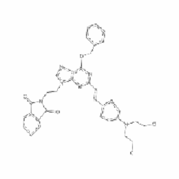 O=C1c2ccccc2C(=O)N1CCn1cnc2c(OCc3ccccc3)nc(N=Nc3ccc(N(CCCl)CCCl)cc3)nc21